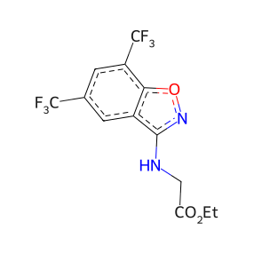 CCOC(=O)CNc1noc2c(C(F)(F)F)cc(C(F)(F)F)cc12